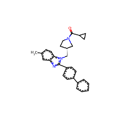 Cc1ccc2c(c1)nc(-c1ccc(-c3ccccc3)cc1)n2C[C@@H]1CCN(C(=O)C2CC2)C1